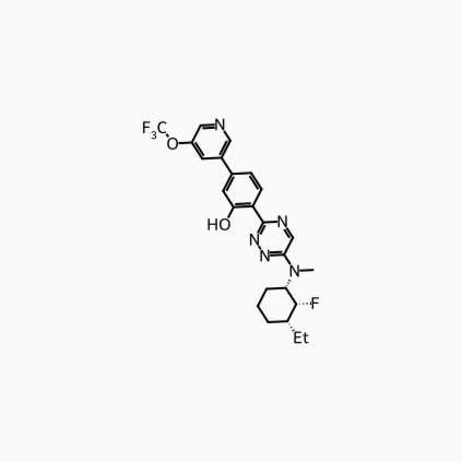 CC[C@@H]1CCC[C@H](N(C)c2cnc(-c3ccc(-c4cncc(OC(F)(F)F)c4)cc3O)nn2)[C@@H]1F